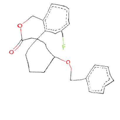 O=C1OCc2cccc(F)c2C12CCCC(OCc1ccccc1)C2